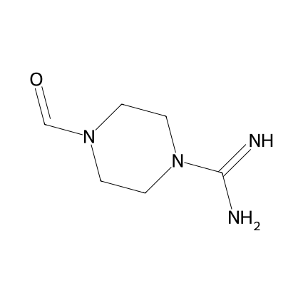 N=C(N)N1CCN(C=O)CC1